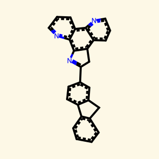 c1ccc2c(c1)Cc1cc(C3=Nc4c(c5cccnc5c5cccnc45)C3)ccc1-2